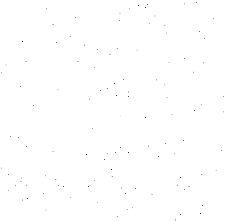 CC(C)(C)C1(C(=O)OCc2ccccc2)CC1